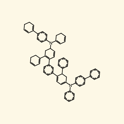 C1=CCCC(C2=C(c3cccc(C4=CC=C(N(c5ccccc5)c5ccc(-c6ccccc6)cc5)CC4c4ccccc4)c3)C=CC(N(C3=CC=CCC3)c3ccc(C4=CCCC=C4)cc3)C2)=C1